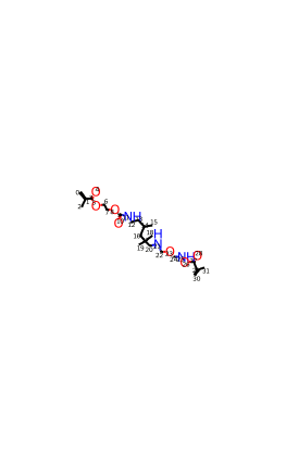 C=C(C)C(=O)OCCOC(=O)NCCC(C)CC(C)(C)CNCOCNOC(=O)C(=C)C